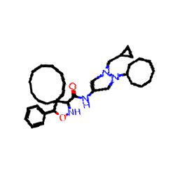 O=C(NC1CN(CC2CC2)N(C2CCCCCCC2)C1)C1NOC(c2ccccc2)C12CCCCCCCCCC2